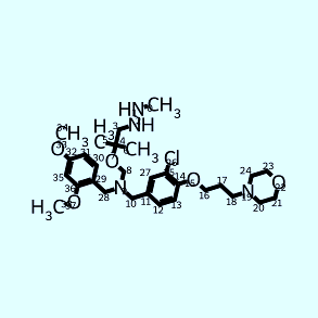 CNNCC(C)(C)OCN(Cc1ccc(OCCCN2CCOCC2)c(Cl)c1)Cc1ccc(OC)cc1OC